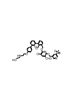 CS(=O)(=O)c1cncc(COc2nc(OCc3cccc(-c4cccc(-c5ccc(OCCNCCO)cc5)c4Cl)c3Cl)c(Cl)cc2C=O)c1